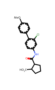 COc1ccc(-c2ccc(NC(=O)C3CCCC3C(=O)O)cc2Cl)cc1